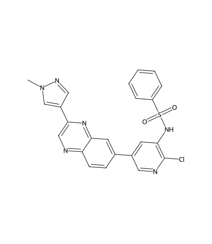 Cn1cc(-c2cnc3ccc(-c4cnc(Cl)c(NS(=O)(=O)c5ccccc5)c4)cc3n2)cn1